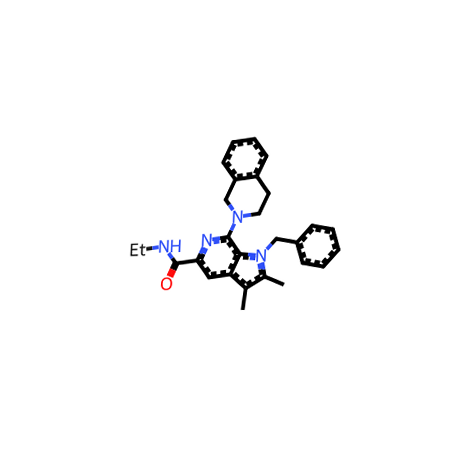 CCNC(=O)c1cc2c(C)c(C)n(Cc3ccccc3)c2c(N2CCc3ccccc3C2)n1